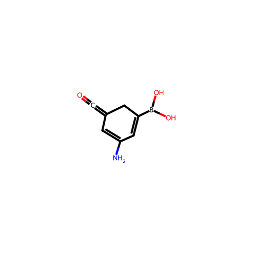 NC1=CC(=C=O)CC(B(O)O)=C1